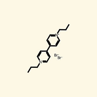 CCC[n+]1ccc(-c2cc[n+](CCC)cc2)cc1.[Br-].[Br-]